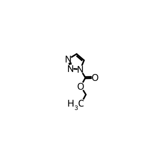 CCOC(=O)n1ccnn1